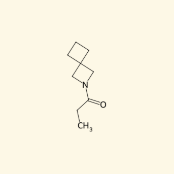 CCC(=O)N1CC2(CCC2)C1